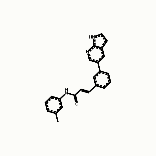 Cc1cccc(NC(=O)C=Cc2cccc(-c3cnc4[nH]ccc4c3)c2)c1